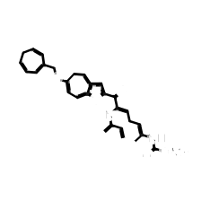 C=CC(=C)N/C(=C\C/C=C(\C)NC(=O)OC)C(=O)c1cc2c(o1)=CC=C(OCC1=CC=CCC=C1)CC=2